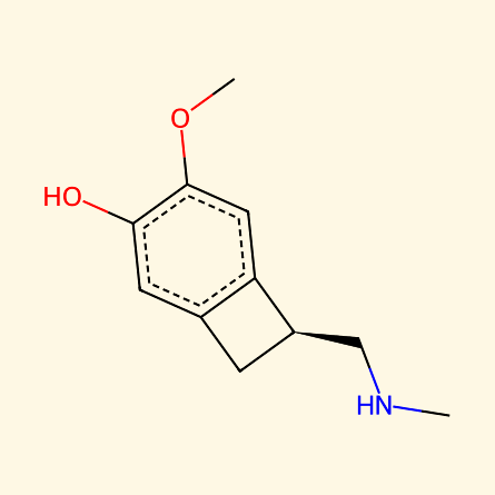 CNC[C@H]1Cc2cc(O)c(OC)cc21